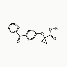 CC(C)OC(=O)C1(Oc2ccc(C(=O)c3ccccc3)cc2)CC1